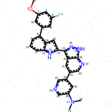 COc1cc(F)cc(-c2cccc3[nH]c(-c4n[nH]c5ncc(-c6cncc(N(C)C)c6)cc45)cc23)c1